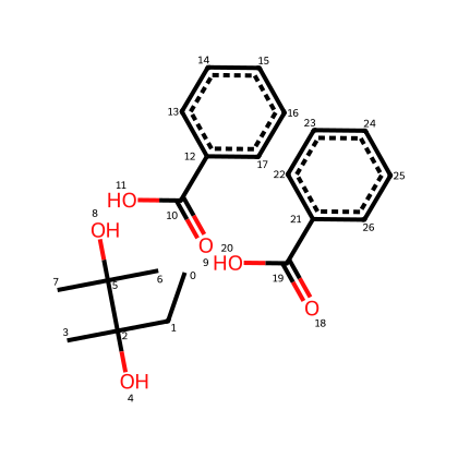 CCC(C)(O)C(C)(C)O.O=C(O)c1ccccc1.O=C(O)c1ccccc1